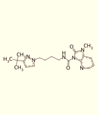 Cn1c(=O)n(C(=O)NCCCCn2ccc(C(C)(C)C)n2)c2ncccc21